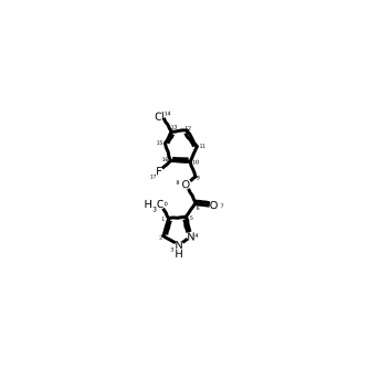 Cc1c[nH]nc1C(=O)OCc1ccc(Cl)cc1F